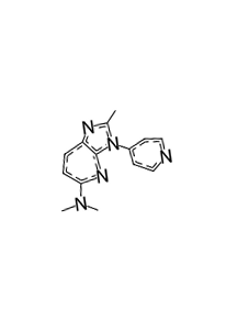 Cc1nc2ccc(N(C)C)nc2n1-c1ccncc1